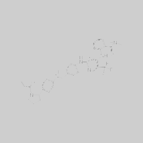 C=CC(=O)N1CCCC1c1ccc(NCc2ccc(Nc3ncc(C(F)(F)F)c(Nc4ccccc4C(=O)NC)n3)cc2)cc1